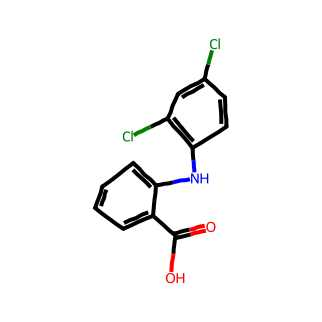 O=C(O)c1ccccc1Nc1ccc(Cl)cc1Cl